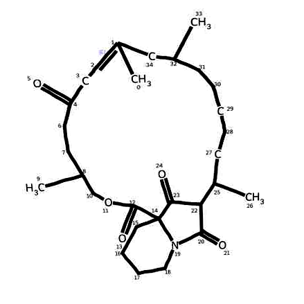 C/C1=C\CC(=O)CCC(C)COC(=O)C23CCCCN2C(=O)C(C3=O)C(C)CCCCCC(C)C1